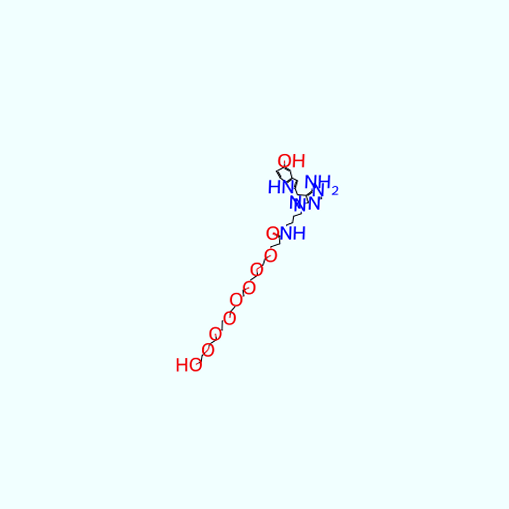 Nc1ncnc2c1c(-c1cc3cc(O)ccc3[nH]1)nn2CCCCNC(=O)CCOCCOCCOCCOCCOCCOCCOCCO